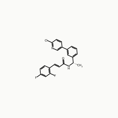 C[C@H](NC(=O)C=Cc1ccc(F)cc1F)c1cccc(-c2ccc(Cl)nc2)c1